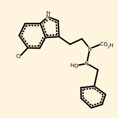 O=C(O)N(CCc1c[nH]c2ccc(Cl)cc12)N(O)Cc1ccccc1